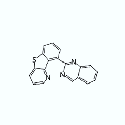 c1ccc2nc(-c3cccc4sc5cccnc5c34)ncc2c1